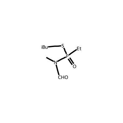 CCC(C)SP(=O)(CC)N(C)C=O